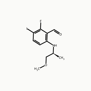 COC[C@H](C)Nc1ccc(I)c(F)c1C=O